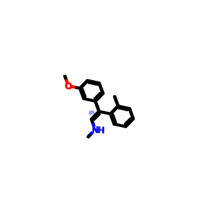 CN/C=C(/c1cccc(OC)c1)c1ccccc1C